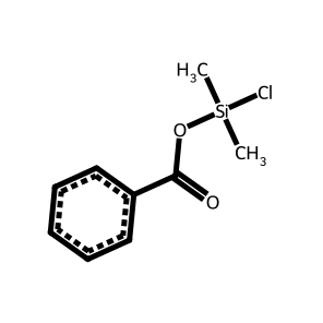 C[Si](C)(Cl)OC(=O)c1ccccc1